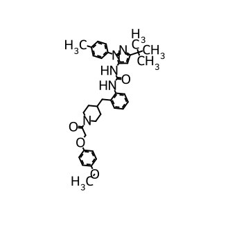 COc1ccc(OCC(=O)N2CCC(Cc3ccccc3NC(=O)Nc3cc(C(C)(C)C)nn3-c3ccc(C)cc3)CC2)cc1